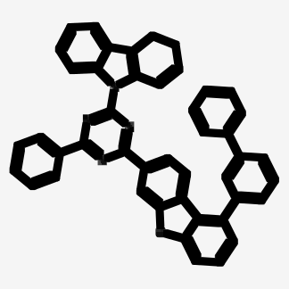 C1=Cc2c(c3ccccc3n2-c2nc(-c3ccccc3)nc(-c3ccc4c(c3)oc3cccc(-c5cccc(-c6ccccc6)c5)c34)n2)CC1